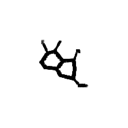 CCc1cc(OC)cc2ccc(F)c(C)c12